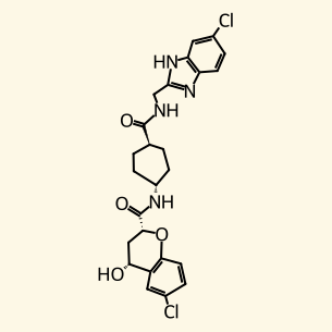 O=C(N[C@H]1CC[C@H](C(=O)NCc2nc3ccc(Cl)cc3[nH]2)CC1)[C@H]1C[C@@H](O)c2cc(Cl)ccc2O1